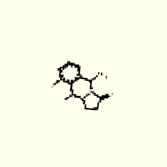 CC1c2cccc(F)c2C(F)C2CCC(=O)N12